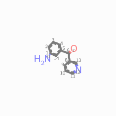 Nc1cccc(C(=O)c2cccnc2)c1